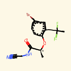 C[C@H](Oc1ccc(Br)cc1C(C)(F)F)C(=O)NC#N